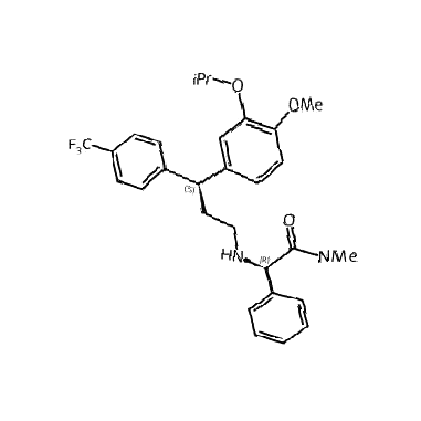 CNC(=O)[C@H](NCC[C@@H](c1ccc(C(F)(F)F)cc1)c1ccc(OC)c(OC(C)C)c1)c1ccccc1